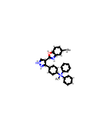 CC(=O)[N+](c1ccccc1)(c1ccccc1)c1ccc(-c2n[nH]cc2-c2nc3cc(C(C)(C)C)ccc3o2)cc1